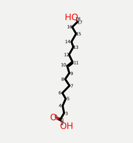 O=C(O)CCCCCCC/C=C/CCCCCCO